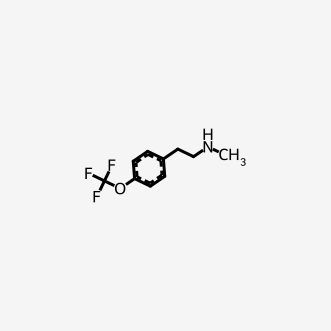 CNCCc1ccc(OC(F)(F)F)cc1